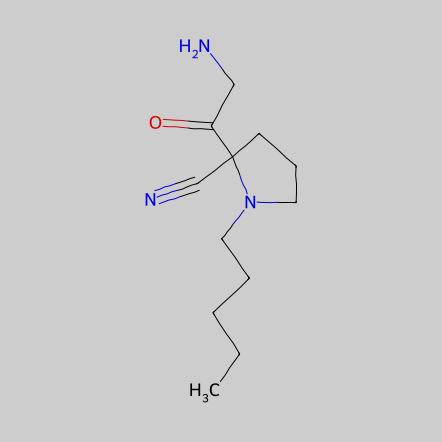 CCCCCN1CCCC1(C#N)C(=O)CN